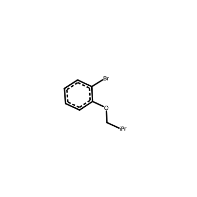 CC(C)COc1ccccc1Br